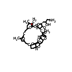 C=C1CC2CCC34CC[C@H]5OC6C(O3)C3OC(CC[C@@H]3OC6C5O4)CC(=O)CC3[C@H](C[C@H]4OC(CCC1O2)C[C@@H](C)C4=C)O[C@H](CC(O)CN)[C@@H]3OC